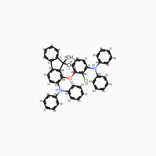 CC1(C)c2ccccc2-c2ccc(N(c3ccccc3)c3ccccc3)c(Oc3cccc(N(c4ccccc4)c4ccccc4)c3Cl)c21